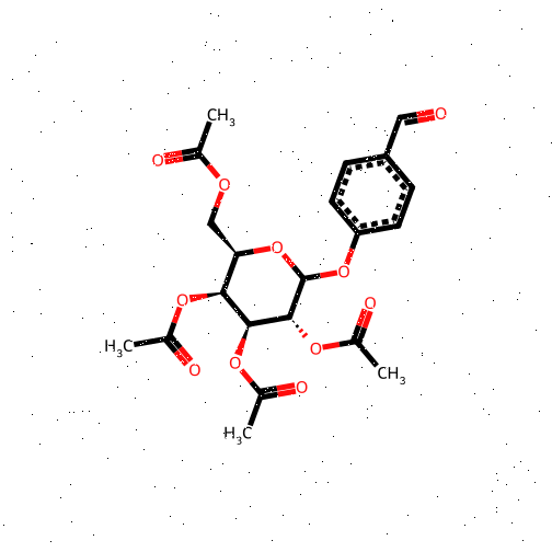 CC(=O)OC[C@H]1OC(Oc2ccc(C=O)cc2)[C@H](OC(C)=O)[C@@H](OC(C)=O)[C@H]1OC(C)=O